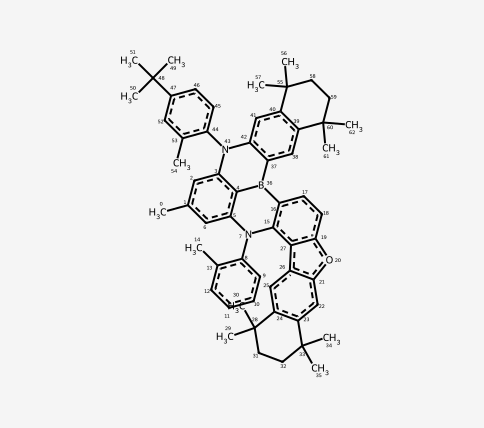 Cc1cc2c3c(c1)N(c1ccccc1C)c1c(ccc4oc5cc6c(cc5c14)C(C)(C)CCC6(C)C)B3c1cc3c(cc1N2c1ccc(C(C)(C)C)cc1C)C(C)(C)CCC3(C)C